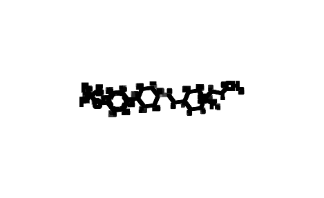 CCC[Si]1(F)CCC(CC[C@H]2CC[C@H](c3ccc(OC(F)(F)F)cc3)CC2)CC1